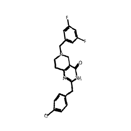 O=c1[nH]c(Cc2ccc(Cl)cc2)nc2c1CN(Cc1cc(F)cc(F)c1)CC2